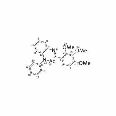 COc1ccc(C=Nc2ccccc2N(C(C)=O)c2ccccc2)c(OC)c1OC